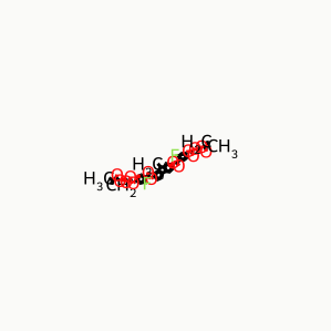 C=C(C)C(=O)OCOC(=O)Oc1ccc(C(=O)Oc2ccc3c(c2)C(C)c2cc(OC(=O)c4ccc(OC(=O)OCOC(=O)C(=C)C)cc4F)ccc2-3)c(F)c1